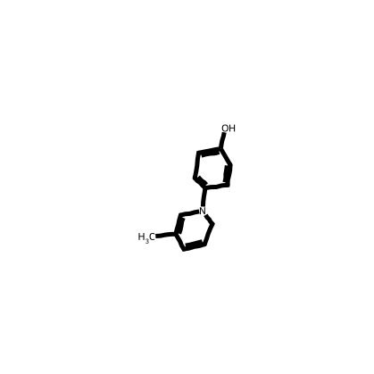 CC1=CN(c2ccc(O)cc2)CC=C1